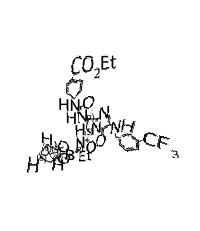 CCOC(=O)c1ccc(NC(=O)N[C@]2(C)C[C@@H](C(=O)N[C@@H](CC)B3O[C@@H]4C[C@@H]5C[C@@H](C5(C)C)[C@]4(C)O3)n3c2ncc(NCc2cccc(C(F)(F)F)c2)c3=O)cc1